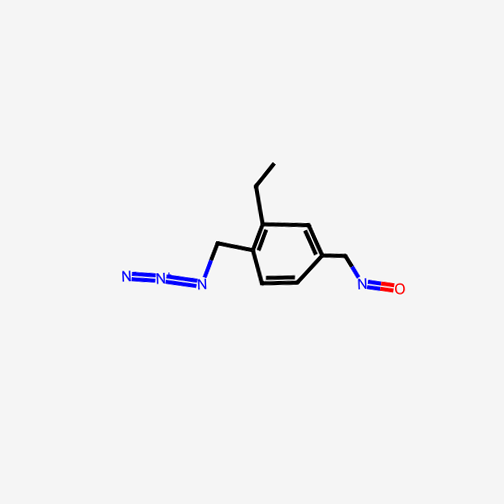 CCc1cc(CN=O)ccc1CN=[N+]=[N-]